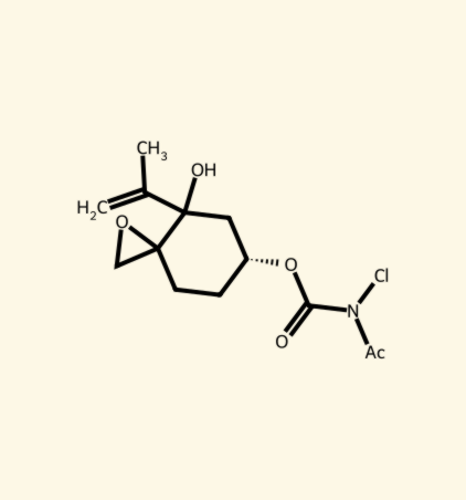 C=C(C)C1(O)C[C@H](OC(=O)N(Cl)C(C)=O)CCC12CO2